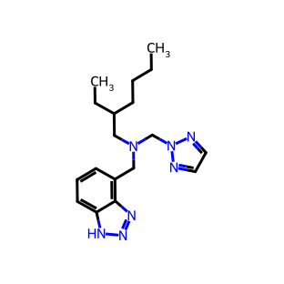 CCCCC(CC)CN(Cc1cccc2[nH]nnc12)Cn1nccn1